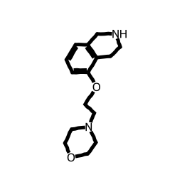 c1cc2c(c(OCCN3CCOCC3)c1)CCNC2